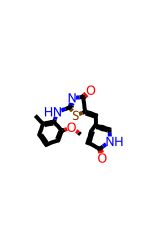 COc1cccc(C)c1NC1=NC(=O)/C(=C/c2ccc(=O)[nH]c2)S1